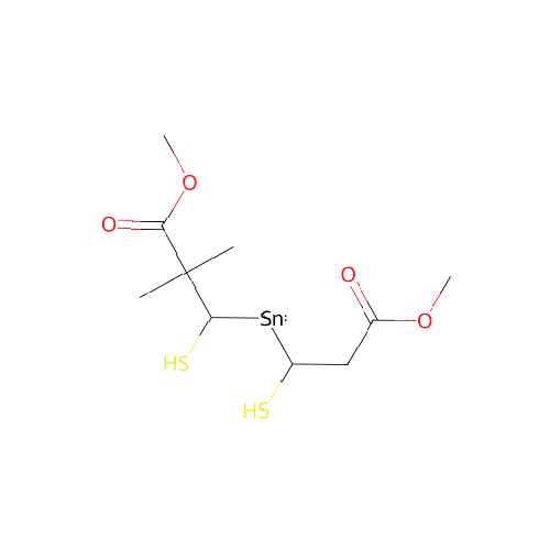 COC(=O)C[CH](S)[Sn][CH](S)C(C)(C)C(=O)OC